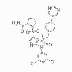 C[C@@]1(Cc2ccc(-c3cncnc3)cc2)C(=O)N(c2cc(Cl)cc(Cl)c2)c2ncc(S(=O)(=O)N3CCCC3C(N)=O)n21